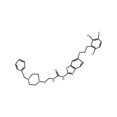 O=C(NCCN1CCN(Cc2ccccc2)CC1)Nc1nc2ccc(OCCc3c(Cl)ccc(F)c3Cl)cc2s1